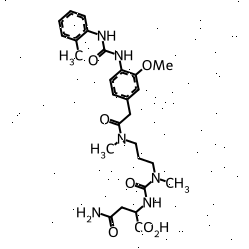 COc1cc(CC(=O)N(C)CCCN(C)C(=O)NC(CC(N)=O)C(=O)O)ccc1NC(=O)Nc1ccccc1C